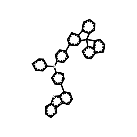 c1ccc(N(c2ccc(-c3ccc4c(c3)C3(c5ccccc5-4)c4cccc5cccc3c45)cc2)c2ccc(-c3cccc4c3oc3ccccc34)cc2)cc1